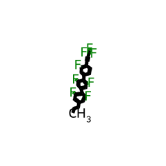 CCCc1cc(F)c(-c2cc(F)c(-c3ccc(C#CC(F)(F)F)c(F)c3)c(F)c2)c(F)c1